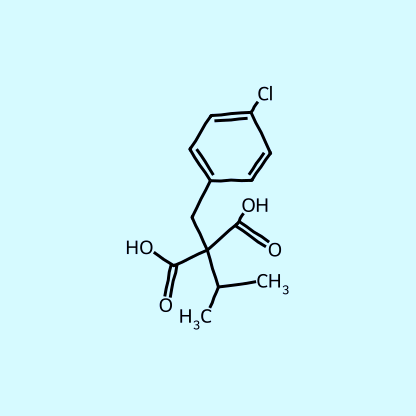 CC(C)C(Cc1ccc(Cl)cc1)(C(=O)O)C(=O)O